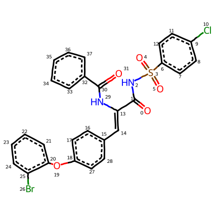 O=C(NS(=O)(=O)c1ccc(Cl)cc1)C(=Cc1ccc(Oc2ccccc2Br)cc1)NC(=O)c1ccccc1